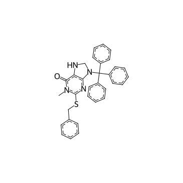 Cn1c(SCc2ccccc2)nc2c(c1=O)NCN2C(c1ccccc1)(c1ccccc1)c1ccccc1